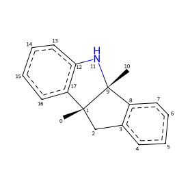 C[C@]12Cc3ccccc3[C@@]1(C)Nc1ccccc12